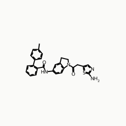 Cc1ccc(-c2ccccc2C(=O)Nc2ccc3c(c2)CCN3C(=O)Cc2cnc(N)s2)cc1